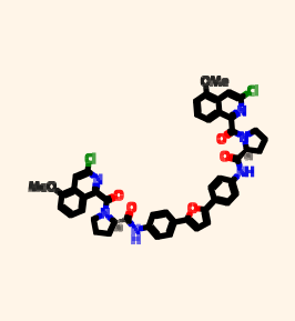 COc1cccc2c(C(=O)N3CCC[C@H]3C(=O)Nc3ccc(-c4ccc(-c5ccc(NC(=O)[C@@H]6CCCN6C(=O)c6nc(Cl)cc7c(OC)cccc67)cc5)o4)cc3)nc(Cl)cc12